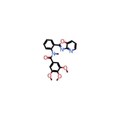 COc1cc(C(=O)N(C)c2ccccc2-c2nc3ncccc3o2)cc(OC)c1OC